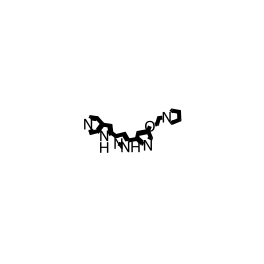 c1cc2cc(-c3cc(-c4cncc(OCCN5CCCC5)c4)[nH]n3)[nH]c2cn1